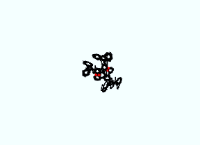 c1ccc(-c2cc(-c3nc(-c4ccccn4)nc(-c4ccccn4)n3)cc(-c3ccccc3)c2-n2c3ccc(-n4c5ccccc5c5ccccc54)cc3c3cc(-n4c5ccccc5c5ccccc54)ccc32)cc#1